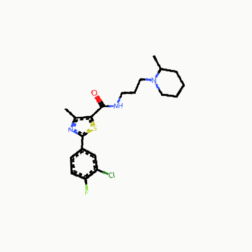 Cc1nc(-c2ccc(F)c(Cl)c2)sc1C(=O)NCCCN1CCCCC1C